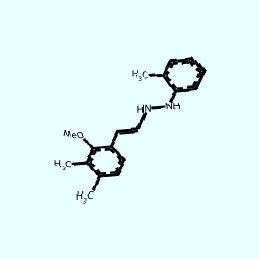 COc1c(/C=C/NNc2ccccc2C)ccc(C)c1C